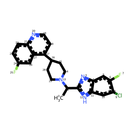 CC(c1nc2cc(F)c(Cl)cc2[nH]1)N1CCC(c2ccnc3ccc(F)cc23)CC1